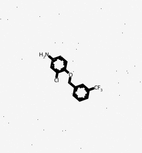 Nc1ccc(OCc2cccc(C(F)(F)F)c2)c(Cl)c1